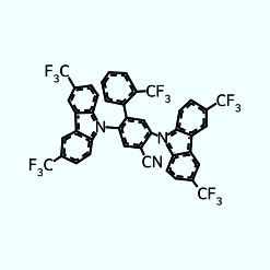 N#Cc1cc(-n2c3ccc(C(F)(F)F)cc3c3cc(C(F)(F)F)ccc32)c(-c2ccccc2C(F)(F)F)cc1-n1c2ccc(C(F)(F)F)cc2c2cc(C(F)(F)F)ccc21